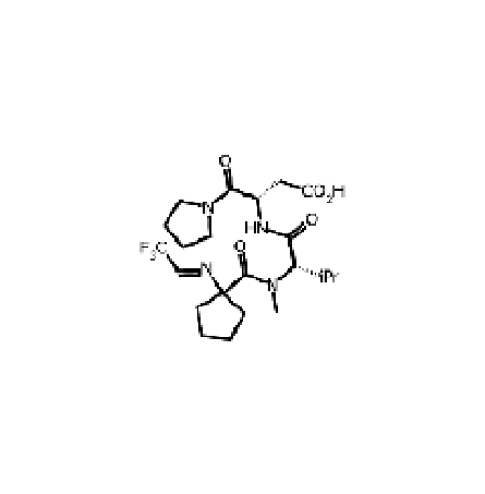 CC(C)[C@@H](C(=O)N[C@@H](CC(=O)O)C(=O)N1CCCC1)N(C)C(=O)C1(/N=C/C(F)(F)F)CCCC1